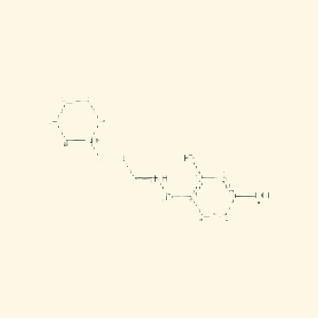 Oc1ccc(ONCCCN2CCCCC2)c(O)c1